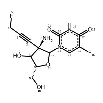 N[C@]1(C#CCF)C(O)[C@@H](CO)OC1n1cc(F)c(=O)[nH]c1=O